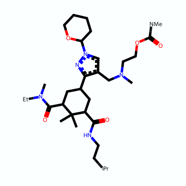 CCN(C)C(=O)C1CC(c2nn(C3CCCCO3)cc2CN(C)CCOC(=O)NC)CC(C(=O)NCCC(C)C)C1(C)C